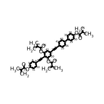 C=C(C)C(=O)Oc1ccc(C#Cc2c(OC(=O)C(=C)C)cc(C#Cc3ccc(-c4ccc(OC(=O)C(=C)C)cc4)cc3)cc2OC(=O)C(=C)C)cc1